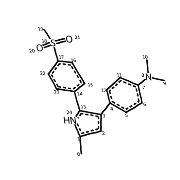 Cc1cc(-c2ccc(N(C)C)cc2)c(-c2ccc(S(C)(=O)=O)cc2)[nH]1